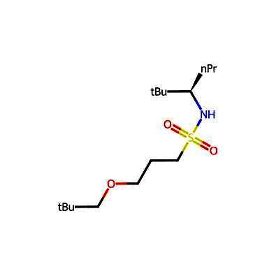 CCC[C@@H](NS(=O)(=O)CCCOCC(C)(C)C)C(C)(C)C